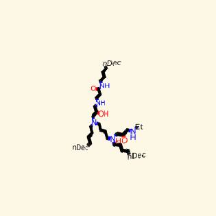 CCCCCCCCCCCCCCNC(=O)CCNCC(O)CN(CCCCCCCCCCCCCC)CCCCN(CCCCCCCCCCCCCC)CC(O)CNCC